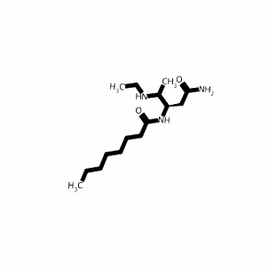 CCCCCCCC(=O)N[C@H](CC(N)=O)C(C)NCC